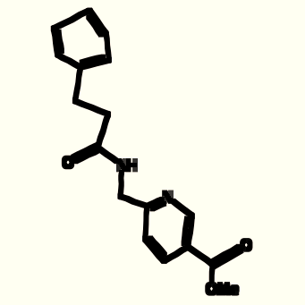 COC(=O)c1ccc(CNC(=O)CCc2ccccc2)nc1